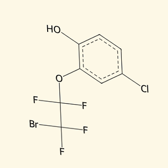 Oc1ccc(Cl)cc1OC(F)(F)C(F)(F)Br